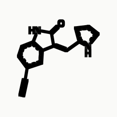 C#Cc1ccc2c(c1)/C(=C/c1ccc[nH]1)C(=O)N2